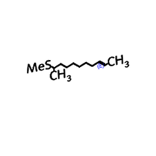 C/C=C/CCCCCCC(C)SC